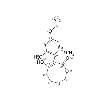 Cc1cc(OCC(F)(F)F)cc(C)c1/C1=C(\O)CCCCOC1=O